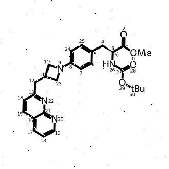 COC(=O)[C@H](Cc1ccc(N2CC(Cc3ccc4cccnc4n3)C2)cc1)NC(=O)OC(C)(C)C